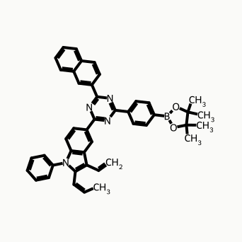 C=Cc1c(/C=C\C)n(-c2ccccc2)c2ccc(-c3nc(-c4ccc(B5OC(C)(C)C(C)(C)O5)cc4)nc(-c4ccc5ccccc5c4)n3)cc12